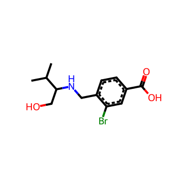 CC(C)C(CO)NCc1ccc(C(=O)O)cc1Br